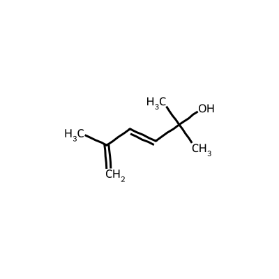 C=C(C)/C=C/C(C)(C)O